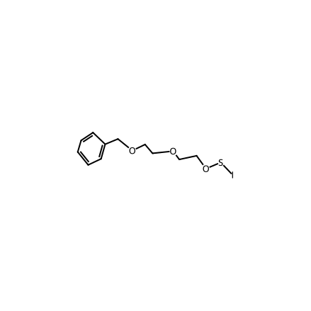 ISOCCOCCOCc1ccccc1